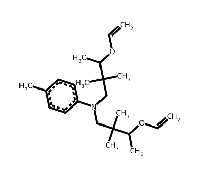 C=COC(C)C(C)(C)CN(CC(C)(C)C(C)OC=C)c1ccc(C)cc1